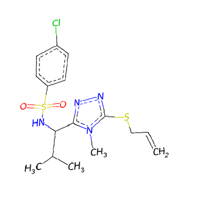 C=CCSc1nnc(C(NS(=O)(=O)c2ccc(Cl)cc2)C(C)C)n1C